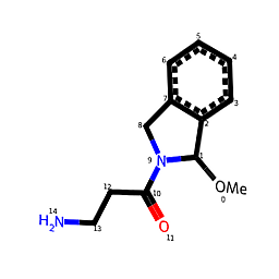 COC1c2ccccc2CN1C(=O)CCN